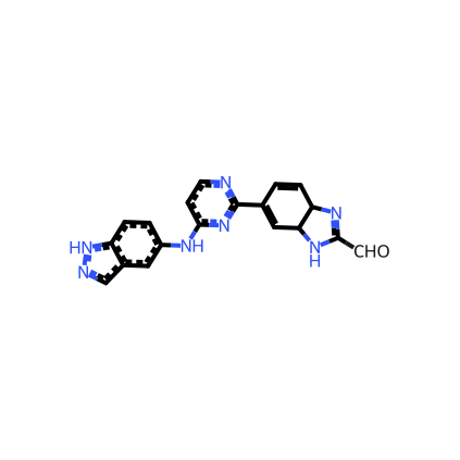 O=CC1=NC2C=CC(c3nccc(Nc4ccc5[nH]ncc5c4)n3)=CC2N1